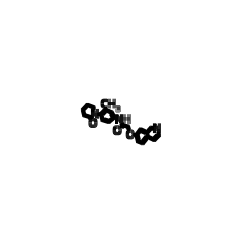 Cc1cc(NC(=O)COc2ccc3ccncc3c2)ccc1N1CCCCC1=O